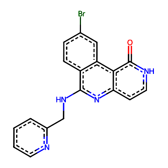 O=c1[nH]ccc2nc(NCc3ccccn3)c3ccc(Br)cc3c12